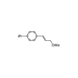 [CH2]OCC=Cc1ccc(C(C)C)cc1